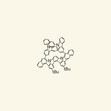 CC(C)(C)c1cc2c3cc4ccccc4c(-c4ccc5c(c4)c4ccccc4n5-c4ccccc4)c3n3c4ccc5c(c6cc(C(C)(C)C)cc7c8c9ccccc9cc(-c9ccc%10c(c9)c9ccccc9n%10-c9ccccc9)c8n5c67)c4c(c1)c23